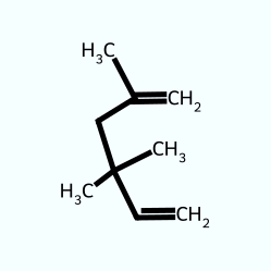 C=CC(C)(C)CC(=C)C